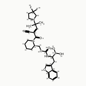 CC(C)(C=C(C#N)C(=O)N1CCCC[C@@H]1COC(=O)NC(Cc1coc2ccccc12)B(O)O)N1CCC(F)(F)C1